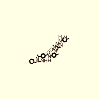 CC1=N[C@@H](CC2C=CC=CC2)CNc2cc(C(=O)Nc3ccc(C)c(N4Cc5cnc(Nc6ccc(C)nc6)nc5N(C)C4=O)c3)ccc21